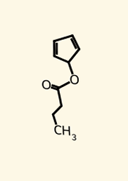 CCCC(=O)OC1C=CC=C1